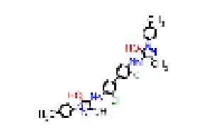 Cc1ccc(-n2nc(C)c(/N=N/c3ccc(-c4ccc(/N=N/c5c(C)nn(-c6ccc(C)cc6)c5O)c(Cl)c4)cc3Cl)c2O)cc1